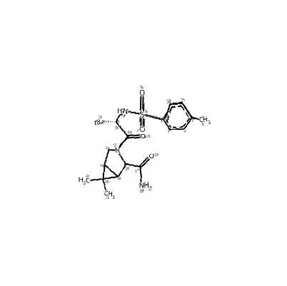 Cc1ccc(S(=O)(=O)N[C@H](C(=O)N2CC3C(C2C(N)=O)C3(C)C)C(C)(C)C)cc1